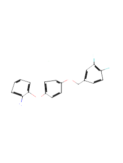 Cl.Nc1ccccc1Oc1ccc(OCc2ccc(F)c(F)c2)cc1